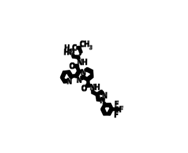 CC(C)C[C@@H](CO)NC(=O)c1c(-c2ccccn2)nc2c(C(=O)NCc3cnn(-c4cccc(C(F)(F)F)c4)c3)cccn12